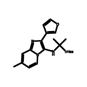 CCCCCCC(C)(C)Nc1c(-c2ccoc2)nc2cc(C)ccn12